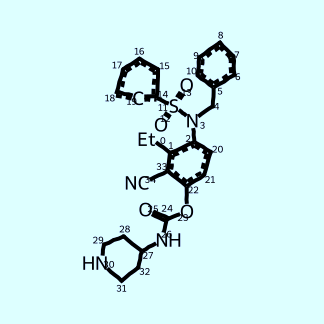 CCc1c(N(Cc2ccccc2)S(=O)(=O)c2ccccc2)ccc(OC(=O)NC2CCNCC2)c1C#N